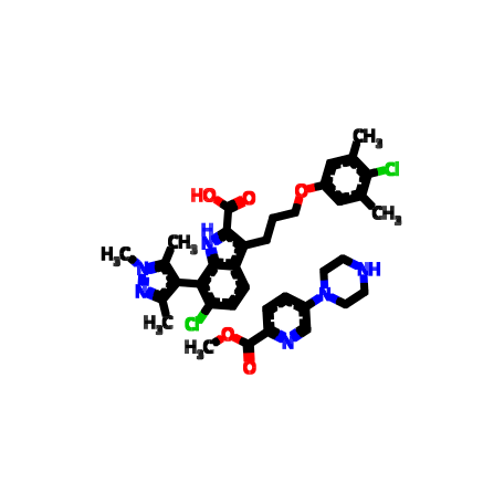 COC(=O)c1ccc(N2CCNCC2)cn1.Cc1cc(OCCCc2c(C(=O)O)[nH]c3c(-c4c(C)nn(C)c4C)c(Cl)ccc23)cc(C)c1Cl